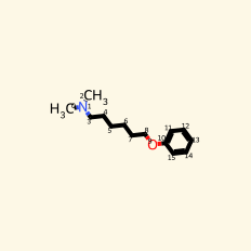 CN(C)CCCCCCOc1cc[c]cc1